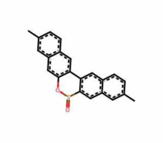 Cc1ccc2cc3c(cc2c1)OS(=O)c1cc2cc(C)ccc2cc1-3